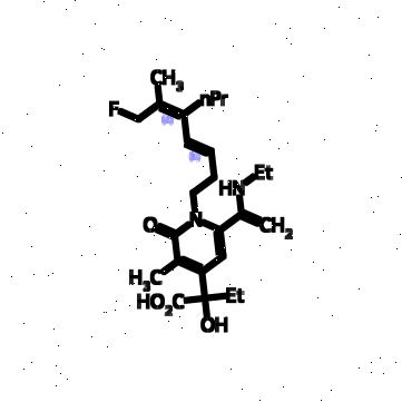 C=C(NCC)c1cc(C(O)(CC)C(=O)O)c(C)c(=O)n1CC/C=C/C(CCC)=C(/C)CF